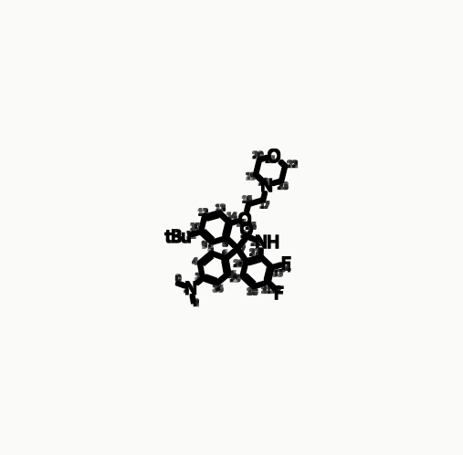 CN(C)c1ccc(C2(c3cc(C(C)(C)C)ccc3OCCN3CCOCC3)C(=O)Nc3c2ccc(F)c3F)cc1